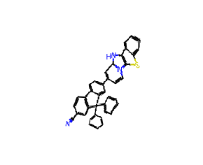 N#Cc1ccc2c(c1)C(c1ccccc1)(c1ccccc1)c1cc(C3=CC4Nc5c(sc6ccccc56)N4C=C3)ccc1-2